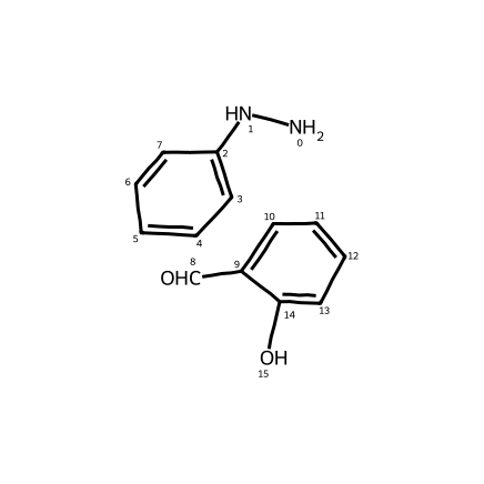 NNc1ccccc1.O=Cc1ccccc1O